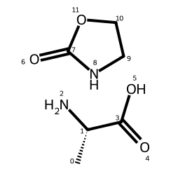 C[C@H](N)C(=O)O.O=C1NCCO1